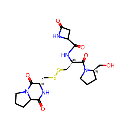 O=C1CC(C(=O)N[C@@H](CSSC[C@@H]2NC(=O)C3CCCN3C2=O)C(=O)N2CCC[C@@H]2CO)N1